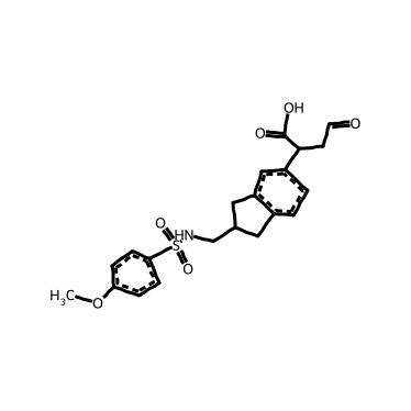 COc1ccc(S(=O)(=O)NCC2Cc3ccc(C(CC=O)C(=O)O)cc3C2)cc1